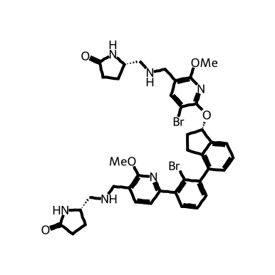 COc1nc(-c2cccc(-c3cccc4c3CC[C@@H]4Oc3nc(OC)c(CNC[C@@H]4CCC(=O)N4)cc3Br)c2Br)ccc1CNC[C@@H]1CCC(=O)N1